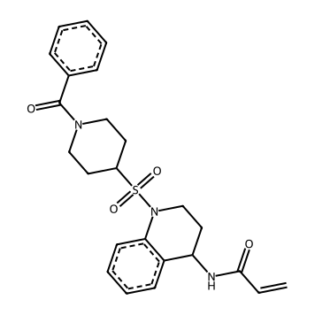 C=CC(=O)NC1CCN(S(=O)(=O)C2CCN(C(=O)c3ccccc3)CC2)c2ccccc21